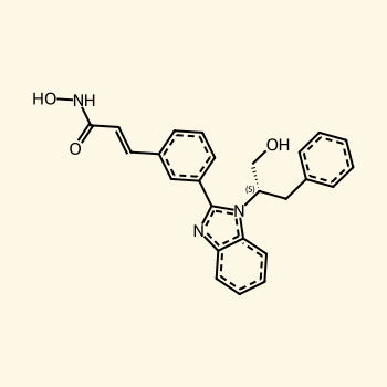 O=C(C=Cc1cccc(-c2nc3ccccc3n2[C@H](CO)Cc2ccccc2)c1)NO